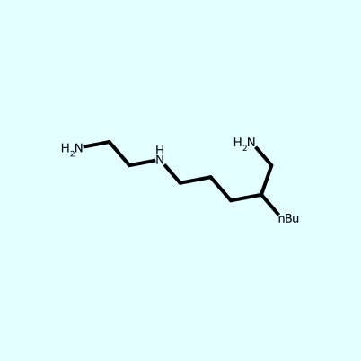 CCCCC(CN)CCCNCCN